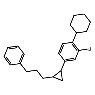 Clc1cc(C2CC2CCCc2ccccc2)ccc1C1CCCCC1